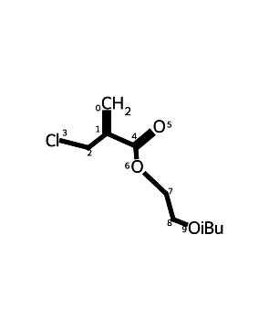 C=C(CCl)C(=O)OCCOCC(C)C